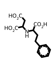 O=C(O)CC(NC(CCc1ccccc1)C(=O)O)C(=O)O